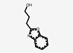 OCCCc1nc2ccccc2o1